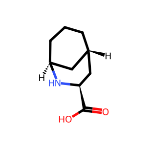 O=C(O)[C@@H]1C[C@H]2CCC[C@@H](C2)N1